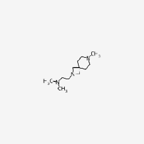 CN(C)CCN1CC2(CCN(C)CC2)C1